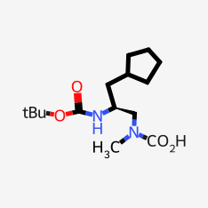 CN(C[C@H](CC1CCCC1)NC(=O)OC(C)(C)C)C(=O)O